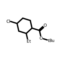 CCC1CC(Cl)CCC1C(=O)OC(C)(C)C